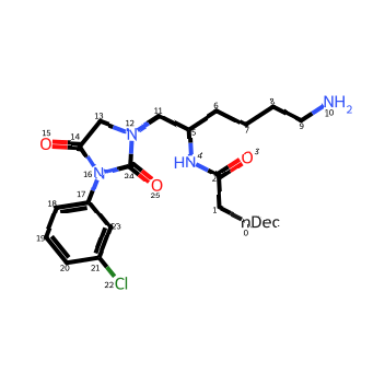 CCCCCCCCCCCC(=O)NC(CCCCN)CN1CC(=O)N(c2cccc(Cl)c2)C1=O